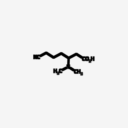 CN(C)C(CCCC#N)CC(=O)O